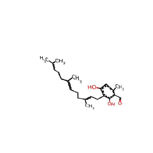 CC(C)=CCC/C(C)=C/CC/C(C)=C/Cc1c(O)cc(C)c(C=O)c1O